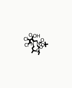 CCOC(=O)CN(Cc1c(C(=O)O)c(Cl)c(Cl)n1CCC(C)C)C(=O)OC(C)(C)C